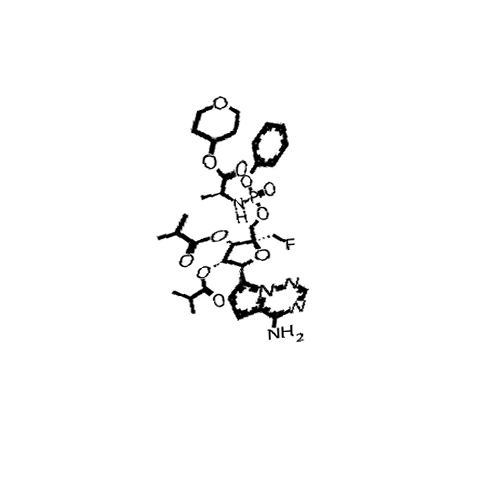 CC(C)C(=O)O[C@H]1[C@H](c2ccc3c(N)ncnn23)O[C@](CF)(CO[P@](=O)(N[C@@H](C)C(=O)OC2CCOCC2)Oc2ccccc2)[C@H]1OC(=O)C(C)C